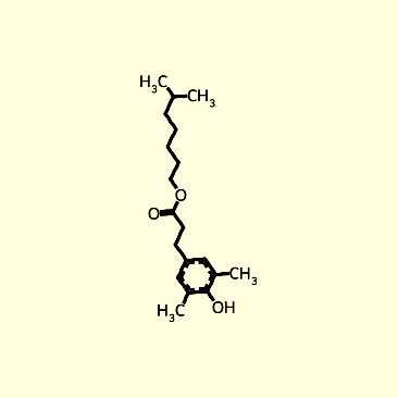 Cc1cc(CCC(=O)OCCCCCC(C)C)cc(C)c1O